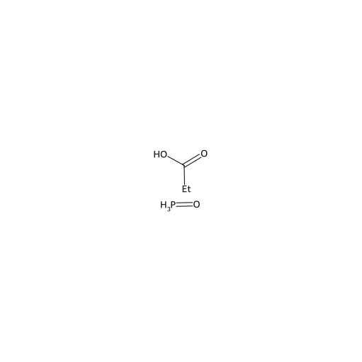 CCC(=O)O.O=[PH3]